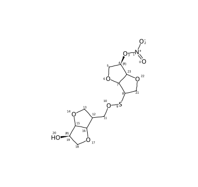 O=[N+]([O-])O[C@@H]1COC2C(SOCC3COC4C3OC[C@H]4O)COC21